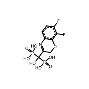 O=P(O)(O)C(O)(C1=Nc2ccc(F)c(F)c2OC1)P(=O)(O)O